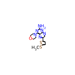 CSc1ccc(-c2cnc3nc(N)nc(N4CCOCC4)c3n2)s1